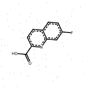 O=C(O)c1ccc2ccc(F)cc2n1